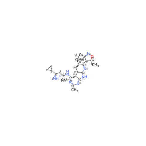 CN/C(=C\C(=N)C1CC1)Nc1nc(C)nc2[nH]c3nc(-c4c(C)noc4C)c(OC)cc3c12